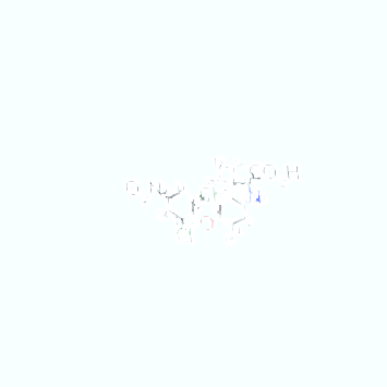 Cc1cc2c(cc1Oc1c(Cl)cc([N+](=O)[O-])cc1Cl)C1(CCC1)C(C(=O)O)=N2